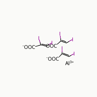 O=C([O-])C(I)=CI.O=C([O-])C(I)=CI.O=C([O-])C(I)=CI.[Al+3]